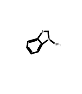 O=[N+]([O-])N1CSc2ccccc21